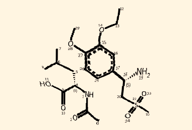 CC(=O)N[C@@H](CC(C)C)C(=O)O.CCOc1cc([C@H](N)CS(C)(=O)=O)ccc1OC